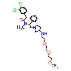 CN(C(=O)Cc1ccc(Cl)c(Cl)c1)C(CN1CCC(NCCOCCOCCOC(F)(F)F)C1)c1ccccc1